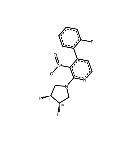 O=[N+]([O-])c1c(-c2ccccc2F)ccnc1N1C[C@@H](F)[C@@H](F)C1